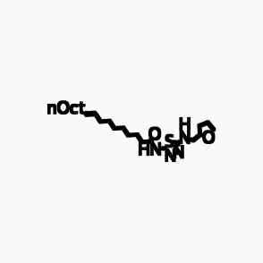 CCCCCCCCC=CCCCCCCCC(=O)Nc1nnc(NCC2CCCO2)s1